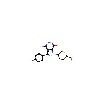 Nc1n[nH]c(=O)c2c1c(-c1ccc(Br)cc1)nn2C1CCC(CO)OC1